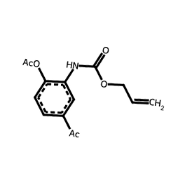 C=CCOC(=O)Nc1cc(C(C)=O)ccc1OC(C)=O